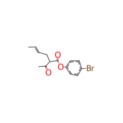 CC=CCC(C(C)=O)C(=O)Oc1ccc(Br)cc1